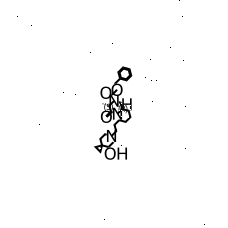 C[C@H]1C(=O)N2C(CCN3CCC4(CC4)C(O)C3)CCC[C@@H]2CN1C(=O)OCc1ccccc1